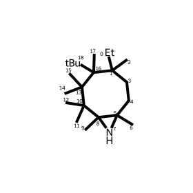 CCC1(C)CCC2(C)NC2(C)C(C)(C)C(C)(C)C1(C)C(C)(C)C